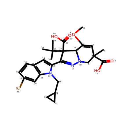 COC1=CC(C)(C(=O)O)CN2N=C(c3cc4ccc(Br)cc4n3CC3CC3)C(C(=O)O)(C(C)(C)C)C12